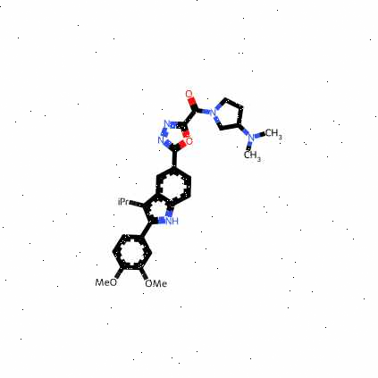 COc1ccc(-c2[nH]c3ccc(-c4nnc(C(=O)N5CCC(N(C)C)C5)o4)cc3c2C(C)C)cc1OC